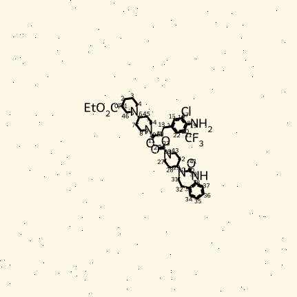 CCOC(=O)[C@@H]1CCCN(C2CCN(C(=O)[C@@H](Cc3cc(Cl)c(N)c(C(F)(F)F)c3)OC(=O)N3CCC(N4CCc5ccccc5NC4=O)CC3)CC2)C1